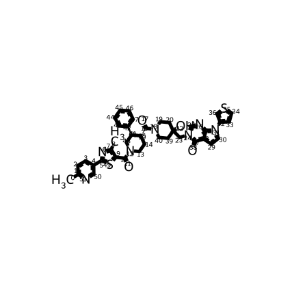 Cc1ccc(-c2nc(C)c(C(=O)N3CC[C@@H](C(=O)N4CCC(O)(Cn5cnc6c(ccn6-c6ccsc6)c5=O)CC4)[C@H](c4ccccc4)C3)s2)cn1